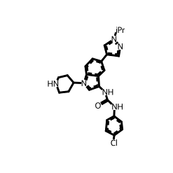 CC(C)n1cc(-c2ccc3c(c2)c(NC(=O)Nc2ccc(Cl)cc2)cn3C2CCNCC2)cn1